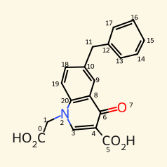 O=C(O)Cn1cc(C(=O)O)c(=O)c2cc(Cc3ccccc3)ccc21